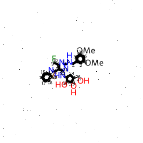 COc1cc(CNc2nc(CF)c(-c3nc4ccccc4s3)c(N[C@@H]3C[C@H](CO)[C@@H](O)[C@H]3O)n2)cc(OC)c1